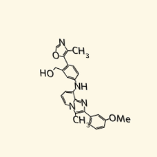 COc1cccc(-c2nc3c(Nc4ccc(-c5ocnc5C)c(CO)c4)cccn3c2C)c1